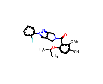 COc1c(C#N)ccc(O[C@@H](C)C(F)(F)F)c1C(=O)N1Cc2cn(-c3ccccc3F)nc2C1